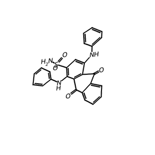 NS(=O)(=O)c1cc(Nc2ccccc2)c2c(c1Nc1ccccc1)C(=O)c1ccccc1C2=O